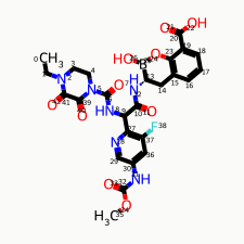 CCN1CCN(C(=O)NC(C(=O)N[C@H]2Cc3cccc(C(=O)O)c3OB2O)c2ncc(NC(=O)OC)cc2F)C(=O)C1=O